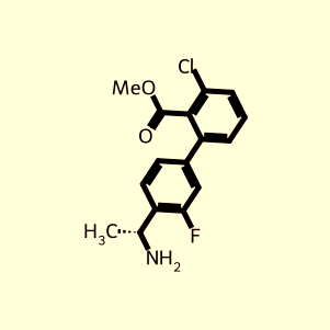 COC(=O)c1c(Cl)cccc1-c1ccc([C@@H](C)N)c(F)c1